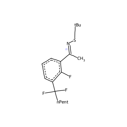 CCCCCC(F)(F)c1cccc(/C(C)=N/SC(C)(C)C)c1F